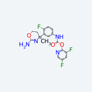 C[C@@]1(c2cc(NC(=O)Oc3ncc(F)cc3F)ccc2F)CCOC(N)=N1